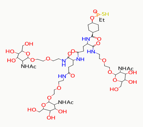 CCP(=O)(S)O[C@H]1CC[C@@H](C(=O)NC(CCC(=O)NC(CCC(=O)NCCOCCOC2OC(CO)C(O)C(O)C2NC(C)=O)C(=O)NCCOCCOC2OC(CO)C(O)C(O)C2NC(C)=O)C(=O)NCCOCCOC2OC(CO)C(O)C(O)C2NC(C)=O)CC1